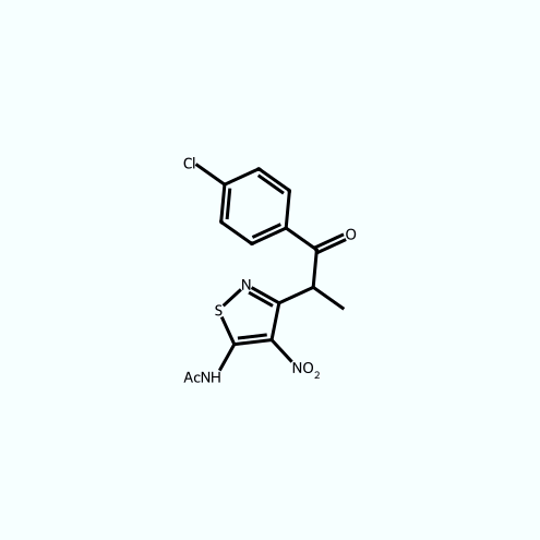 CC(=O)Nc1snc(C(C)C(=O)c2ccc(Cl)cc2)c1[N+](=O)[O-]